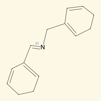 C1=CC(/C=N/CC2=CCCC=C2)=CCC1